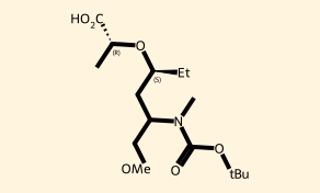 CC[C@@H](CC(COC)N(C)C(=O)OC(C)(C)C)O[C@H](C)C(=O)O